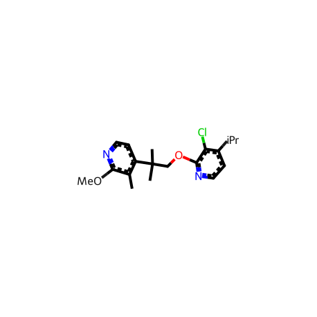 COc1nccc(C(C)(C)COc2nccc(C(C)C)c2Cl)c1C